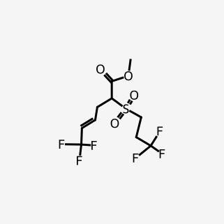 COC(=O)C(C/C=C/C(F)(F)F)S(=O)(=O)CCC(F)(F)F